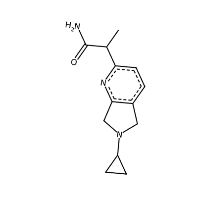 CC(C(N)=O)c1ccc2c(n1)CN(C1CC1)C2